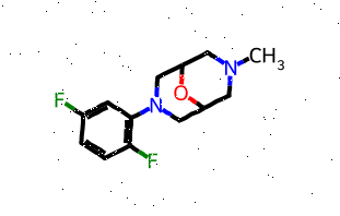 CN1CC2CN(c3cc(F)ccc3F)CC(C1)O2